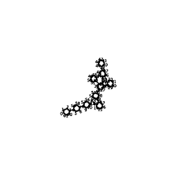 c1ccc(-c2ccc(-c3ccc(-n4c5ccccc5c5cc(-c6cc7c8c(c6)c6ccccc6n8-c6ccc(-c8ccccc8)cc6-c6ccccc6-7)ccc54)cc3)cc2)cc1